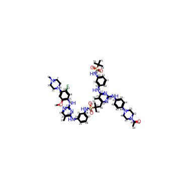 COc1cc(N2CCN(C)CC2)c(F)cc1Nc1ncc(C)c(Nc2cccc(NS(=O)(=O)C(C)(C)Cc3nc(Nc4ccc(N5CCN(C(C)=O)CC5)cc4)nc(Nc4cccc(NS(=O)(=O)C(C)(C)C)c4)c3C)c2)n1